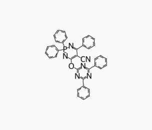 N#CC1=C(Oc2nc(-c3ccccc3)nc(-c3ccccc3)n2)N=P(c2ccccc2)(c2ccccc2)N=C1c1ccccc1